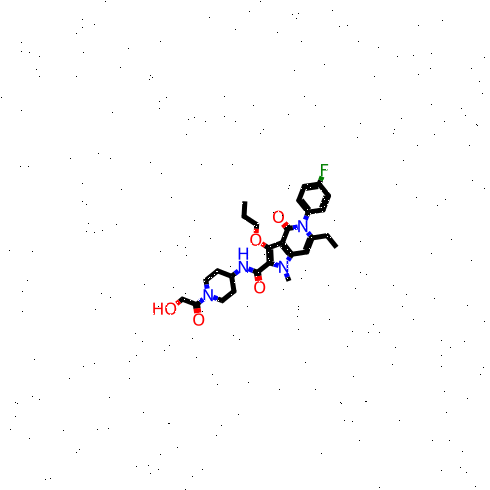 CCCOc1c(C(=O)NC2CCN(C(=O)CO)CC2)n(C)c2cc(CC)n(-c3ccc(F)cc3)c(=O)c12